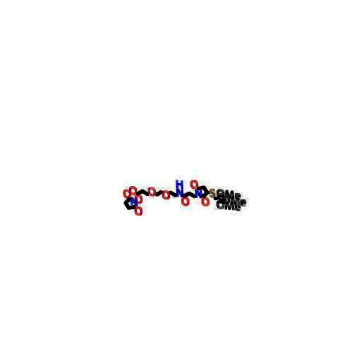 CO[Si](CSC1CC(=O)N(CCC(=O)NCCOCCOCCC(=O)ON2C(=O)CCC2=O)C1=O)(OC)OC